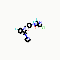 O=C(N[C@H]1CC[C@H](CN2C(=O)C3(CN(c4ccccn4)C3)c3ccc(F)cc32)CC1)c1cc(Cl)cnc1C(F)F